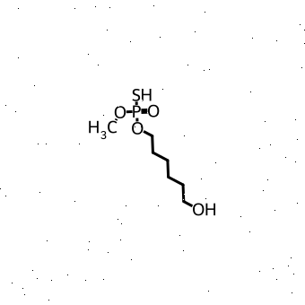 COP(=O)(S)OCCCCCCO